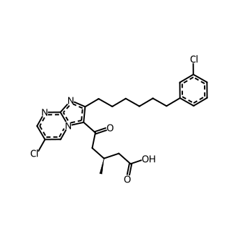 C[C@H](CC(=O)O)CC(=O)c1c(CCCCCCc2cccc(Cl)c2)nc2ncc(Cl)cn12